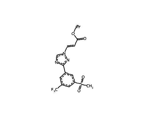 CC(C)OC(=O)C=Cn1cnc(-c2cc(C(F)(F)F)cc(S(C)(=O)=O)c2)n1